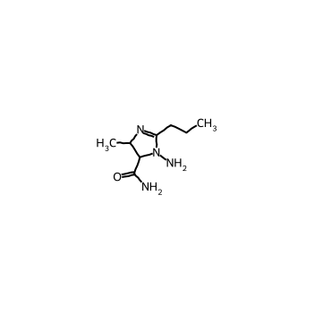 CCCC1=NC(C)C(C(N)=O)N1N